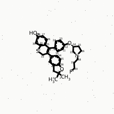 CC1(C)Cc2cc(C3=C(c4ccc(O[C@H]5CCN(CCCF)C5)cc4)c4ccc(O)cc4SC3)ccc2O1